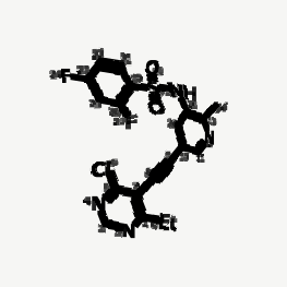 CCc1ncnc(Cl)c1C#Cc1cnc(C)c(NS(=O)(=O)c2ccc(F)cc2F)c1